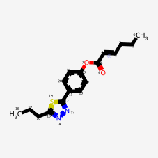 CCC/C=C/C(=O)Oc1ccc(-c2nnc(CCC)s2)cc1